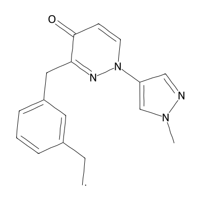 [CH2]Cc1cccc(Cc2nn(-c3cnn(C)c3)ccc2=O)c1